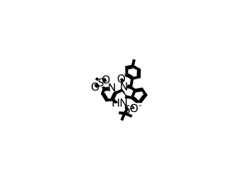 Cc1ccc2c(-c3ccccc3[C@H](Cc3nc(S(C)(=O)=O)ccc3C)N[S@@+]([O-])C(C)(C)C)noc2c1